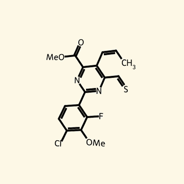 C/C=C\c1c(C=S)nc(-c2ccc(Cl)c(OC)c2F)nc1C(=O)OC